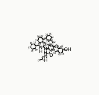 C=CCNCC(=O)N1[C@@H](NC(=O)NCC2=CCCC=C2)CN(CC2=CC=CC(C3=CC=CCC3)N2)C(=O)[C@@H]1Cc1ccc(O)cc1